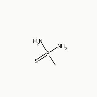 CP(N)(N)=S